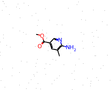 COC(=O)c1cnc(N)c(C)c1